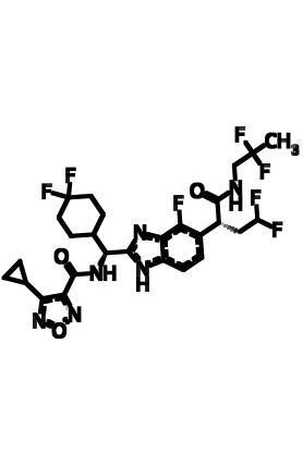 CC(F)(F)CNC(=O)[C@H](CC(F)F)c1ccc2[nH]c([C@@H](NC(=O)c3nonc3C3CC3)C3CCC(F)(F)CC3)nc2c1F